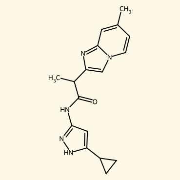 Cc1ccn2cc(C(C)C(=O)Nc3cc(C4CC4)[nH]n3)nc2c1